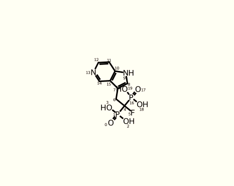 O=P(O)(O)C(F)(Cc1c[nH]c2ccncc12)P(=O)(O)O